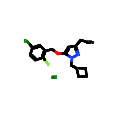 CNCc1cc(OCc2cc(Cl)ccc2F)n(CC2CCC2)n1.Cl